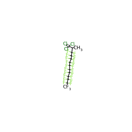 CC(C(F)(F)C(F)(F)C(F)(F)C(F)(F)C(F)(F)C(F)(F)C(F)(F)C(F)(F)C(F)(F)C(F)(F)C(F)(F)F)[Si](Cl)(Cl)Cl